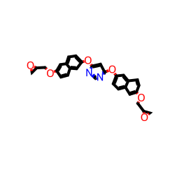 c1nc(Oc2ccc3cc(OCC4CO4)ccc3c2)cc(Oc2ccc3cc(OCC4CO4)ccc3c2)n1